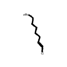 CCCCCCCCCC=CCl